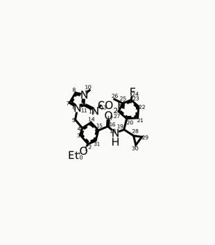 CCOc1cc(Cn2ccn(C)/c2=N\C(=O)O)cc(C(=O)NC(c2ccc(F)c(C)c2)C2CC2)c1